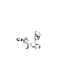 Cn1cc(C2CN(C(=O)c3cc(C(C)(C)C)on3)Cc3ccccc32)cn1